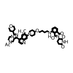 CC(=O)N1CCn2c(C3CCOCC3)nc(-c3ccnc4cc(N5CCC(OCCCCNc6cccc7c6C(=O)N(C6CCC(=O)NC6=O)C7=O)CC5)c(C)cc34)c2C1